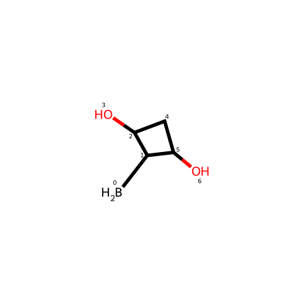 BC1C(O)CC1O